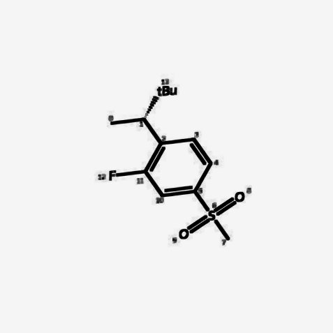 C[C@@H](c1ccc(S(C)(=O)=O)cc1F)C(C)(C)C